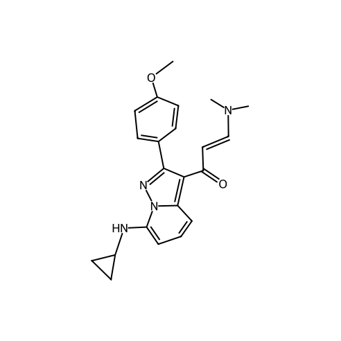 COc1ccc(-c2nn3c(NC4CC4)cccc3c2C(=O)C=CN(C)C)cc1